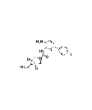 Nc1ccc(-c2ccc(F)cc2)nc1NC(=O)N1C[C@@H]2[C@@H](CO)[C@@H]2C1